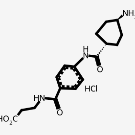 Cl.N[C@H]1CC[C@H](C(=O)Nc2ccc(C(=O)NCCC(=O)O)cc2)CC1